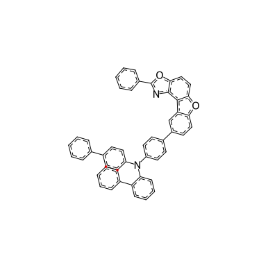 c1ccc(-c2ccc(N(c3ccc(-c4ccc5oc6ccc7oc(-c8ccccc8)nc7c6c5c4)cc3)c3ccccc3-c3ccccc3)cc2)cc1